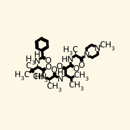 CC(C)[C@H](NC(=O)[C@H](C)NC(=O)[C@@H](NC(=O)c1ccccc1)C(C)(C)C)C(=O)C(=O)N[C@H](C)C(=O)N1CCN(C)CC1